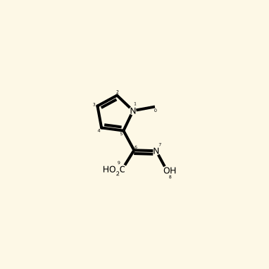 Cn1cccc1/C(=N/O)C(=O)O